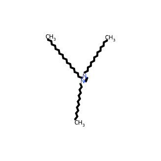 CCCCCCCCCCCCCCCCCCC1N(CCCCCCCCCCCCCC)C=CN1CCCCCCCCCCCCCCC